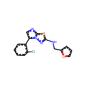 Clc1ccccc1-c1cnc2sc(NCc3ccco3)nn12